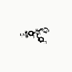 NS(=O)(=O)c1ccc(-n2nc(CN3CCOCC3)nc2CC2=CC=C(Cl)CC2)c(F)c1